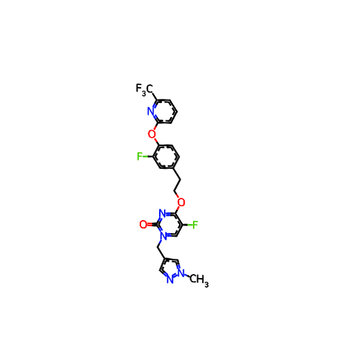 Cn1cc(Cn2cc(F)c(OCCc3ccc(Oc4cccc(C(F)(F)F)n4)c(F)c3)nc2=O)cn1